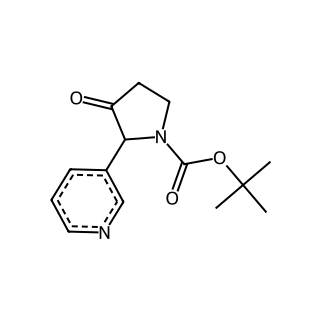 CC(C)(C)OC(=O)N1CCC(=O)C1c1cccnc1